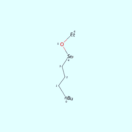 CCCCCC[CH2][Sn][O]CC